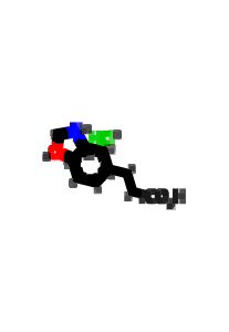 Cl.O=C(O)CCc1ccc2ocnc2c1